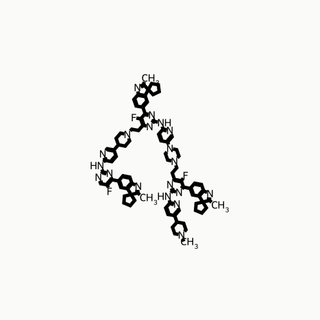 CC1=Nc2ccc(-c3nc(Nc4ccc(C5CCN(CCc6nc(Nc7ccc(N8CCN(CCc9nc(Nc%10ccc(C%11CCN(C)CC%11)cn%10)nc(-c%10ccc%11c(c%10)C%10(CCCC%10)C(C)=N%11)c9F)CC8)cn7)nc(-c7ccc8c(c7)C7(CCCC7)C(C)=N8)c6F)CC5)cn4)ncc3F)cc2C12CCCC2